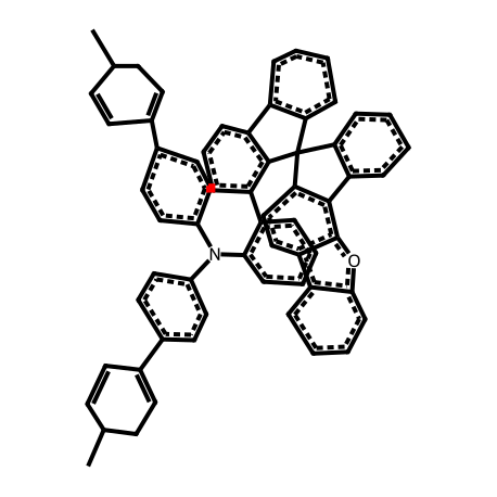 CC1C=CC(c2ccc(N(c3ccc(C4=CCC(C)C=C4)cc3)c3ccccc3-c3cccc4c3C3(c5ccccc5-4)c4ccccc4-c4c3ccc3c4oc4ccccc43)cc2)=CC1